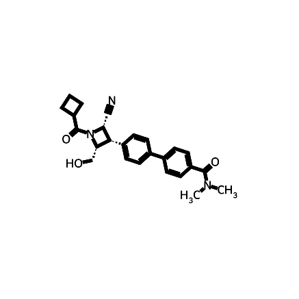 CN(C)C(=O)c1ccc(-c2ccc([C@H]3[C@@H](C#N)N(C(=O)C4CCC4)[C@H]3CO)cc2)cc1